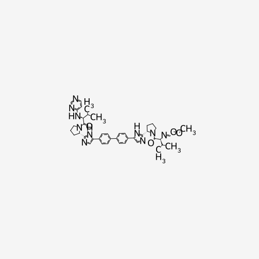 COO/C=N/[C@H](C(=O)N1CCC[C@H]1c1ncc(-c2ccc(-c3ccc(-c4cnc([C@@H]5CCCN5C(=O)[C@@H](Nc5ccncn5)C(C)C)[nH]4)cc3)cc2)[nH]1)C(C)C